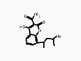 CCC(C)C(C)CC(C)c1cccc2c(O)c(C(=O)C(F)(F)F)c(=O)oc12